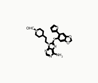 Nc1ncnc2c1nc(Sc1cc3c(cc1-c1cccs1)OCO3)n2CCC1CCN(C=O)CC1